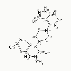 CN(C)C(=O)C(c1ccc(Cl)cc1)N1CCN(c2ncnc3[nH]nc(Br)c23)CC1